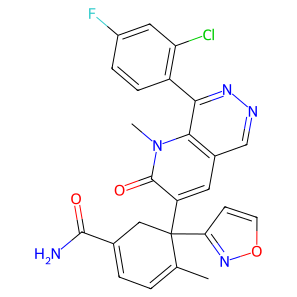 CC1=CC=C(C(N)=O)CC1(c1ccon1)c1cc2cnnc(-c3ccc(F)cc3Cl)c2n(C)c1=O